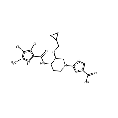 Cc1[nH]c(C(=O)N[C@@H]2CCN(c3ncc(C(=O)O)s3)C[C@@H]2OCC2CC2)c(Cl)c1Cl